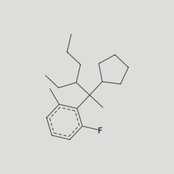 CCCC(CC)C(C)(c1c(C)cccc1F)C1CCCC1